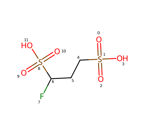 O=S(=O)(O)CCC(F)S(=O)(=O)O